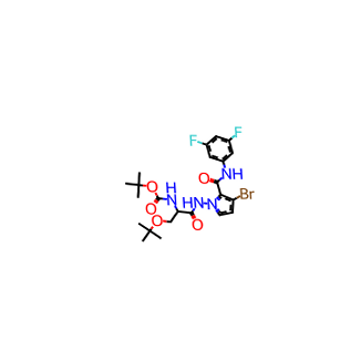 CC(C)(C)OCC(NC(=O)OC(C)(C)C)C(=O)Nn1ccc(Br)c1C(=O)Nc1cc(F)cc(F)c1